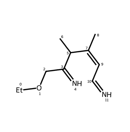 CCOCC(=N)C(C)/C(C)=C\C=N